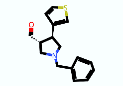 O=C[C@H]1CN(Cc2ccccc2)C[C@@H]1c1ccsc1